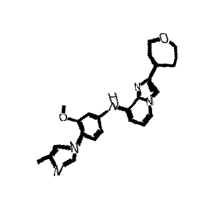 COc1cc(Nc2cccn3cc(C4CCOCC4)nc23)ccc1-n1cnc(C)c1